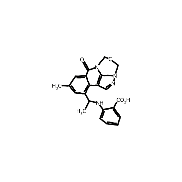 Cc1cc(C(C)Nc2ccccc2C(=O)O)c2c(c1)c(=O)n1c3c2cnn3CCC1